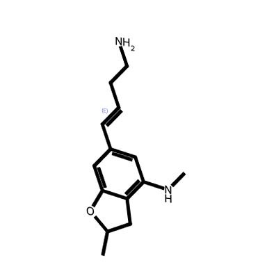 CNc1cc(/C=C/CCN)cc2c1CC(C)O2